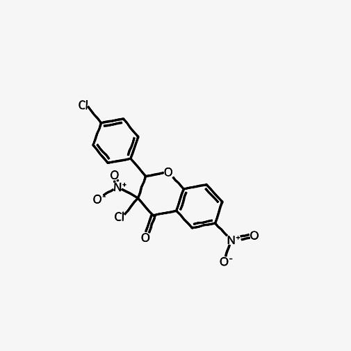 O=C1c2cc([N+](=O)[O-])ccc2OC(c2ccc(Cl)cc2)C1(Cl)[N+](=O)[O-]